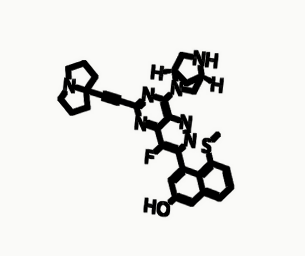 CSc1cccc2cc(O)cc(-c3nnc4c(N5C[C@@H]6C[C@H]5CN6)nc(C#CC56CCCN5CCC6)nc4c3F)c12